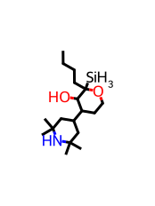 CCCCC1([SiH3])OCCC(C2CC(C)(C)NC(C)(C)C2)C1O